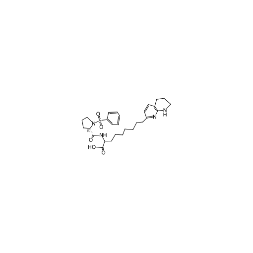 O=C(O)C(CCCCCCCc1ccc2c(n1)NCCC2)NC(=O)[C@@H]1CCCN1S(=O)(=O)c1ccccc1